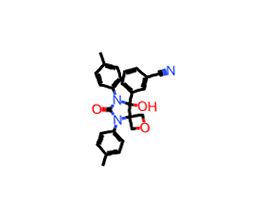 Cc1ccc(N2C(=O)N(c3ccc(C)cc3)C(O)(c3cccc(C#N)c3)C23COC3)cc1